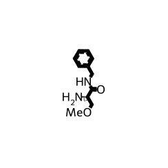 COC[C@H](N)C(=O)NCc1ccccc1